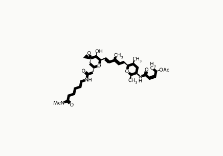 CNC(=O)CCCCCNC(=O)C[C@@H]1C[C@@]2(CO2)[C@H](O)[C@@H](/C=C/C(C)=C/C[C@@H]2O[C@H](C)[C@H](NC(=O)/C=C\[C@H](C)OC(C)=O)C[C@@H]2C)O1